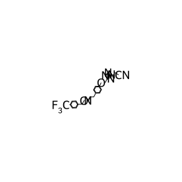 N#CCn1nnc(COc2ccc(CC=NOCc3ccc(C(F)(F)F)cc3)cc2)n1